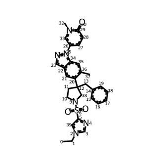 CCn1cnc(S(=O)(=O)N2CCC(Cc3ccccc3)(c3cc4cnn(-c5ccc(=O)n(C)c5)c4cc3C)C2)c1